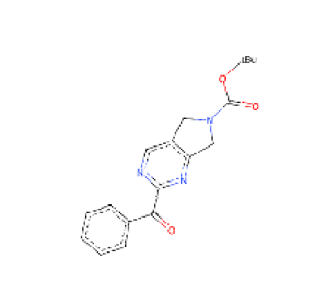 CC(C)(C)OC(=O)N1Cc2cnc(C(=O)c3ccccc3)nc2C1